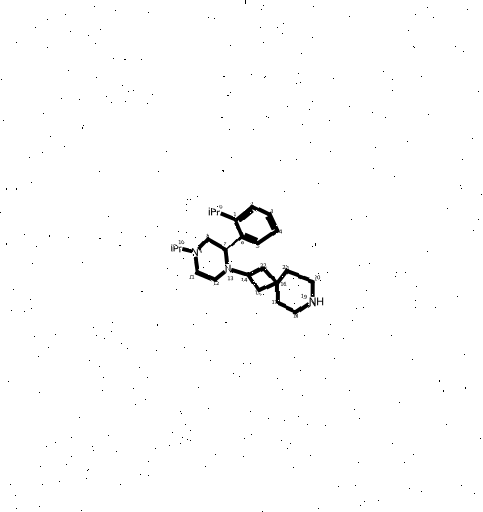 CC(C)c1ccccc1[C@@H]1CN(C(C)C)CCN1C1CC2(CCNCC2)C1